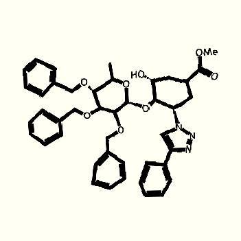 COC(=O)C1C[C@@H](O)C(O[C@@H]2OC(C)[C@@H](OCc3ccccc3)C(OCc3ccccc3)C2OCc2ccccc2)[C@H](n2cc(-c3ccccc3)nn2)C1